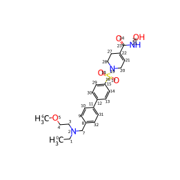 CCN(CCOC)Cc1ccc(-c2ccc(S(=O)(=O)N3CC=C(C(=O)NO)CC3)cc2)cc1